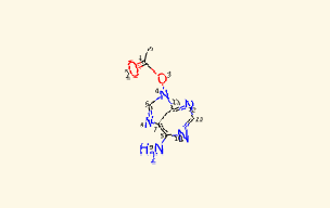 CC(=O)On1cnc2c(N)ncnc21